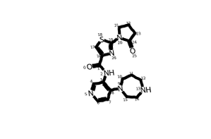 O=C(Nc1cnccc1N1CCCNCC1)c1csc(N2CCCC2=O)n1